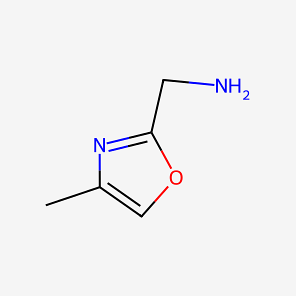 Cc1coc(CN)n1